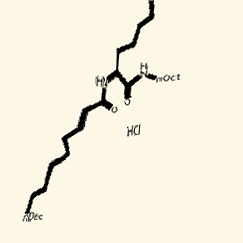 CCCCCCCCCCCCCCCCCC(=O)N[C@@H](CCCCN)C(=O)NCCCCCCCC.Cl